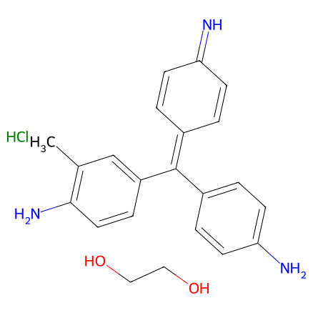 Cc1cc(C(=C2C=CC(=N)C=C2)c2ccc(N)cc2)ccc1N.Cl.OCCO